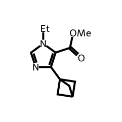 CCn1cnc(C23CC(C2)C3)c1C(=O)OC